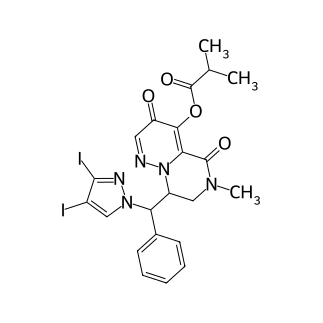 CC(C)C(=O)Oc1c2n(ncc1=O)C(C(c1ccccc1)n1cc(I)c(I)n1)CN(C)C2=O